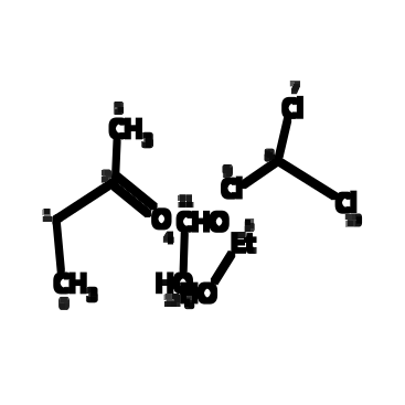 CCC(C)=O.CCO.ClC(Cl)Cl.O=CO